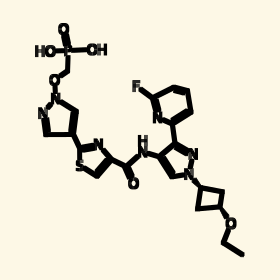 CCO[C@H]1C[C@@H](n2cc(NC(=O)c3csc(-c4cnn(OCP(=O)(O)O)c4)n3)c(-c3cccc(F)n3)n2)C1